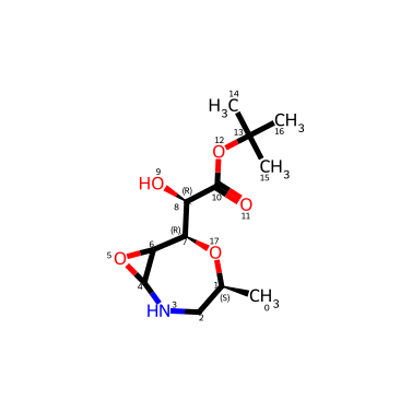 C[C@H]1CNC2OC2[C@@H]([C@@H](O)C(=O)OC(C)(C)C)O1